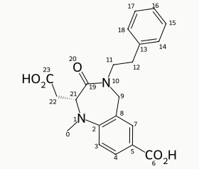 CN1c2ccc(C(=O)O)cc2CN(CCc2ccccc2)C(=O)[C@H]1CC(=O)O